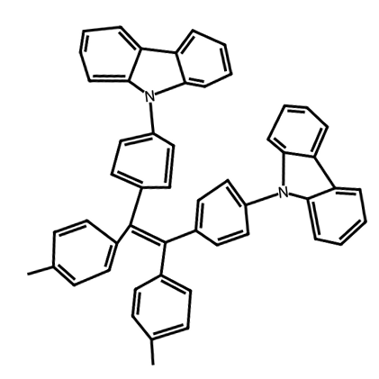 Cc1ccc(/C(=C(\c2ccc(C)cc2)c2ccc(-n3c4ccccc4c4ccccc43)cc2)c2ccc(-n3c4ccccc4c4ccccc43)cc2)cc1